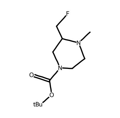 CN1CCN(C(=O)OC(C)(C)C)CC1CF